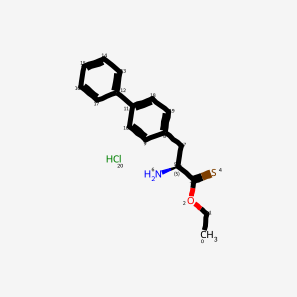 CCOC(=S)[C@@H](N)Cc1ccc(-c2ccccc2)cc1.Cl